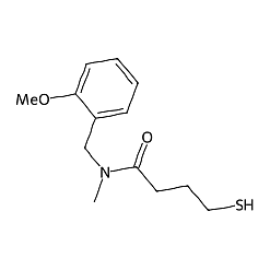 COc1ccccc1CN(C)C(=O)CCCS